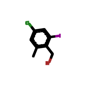 Cc1cc(Cl)cc(I)c1CBr